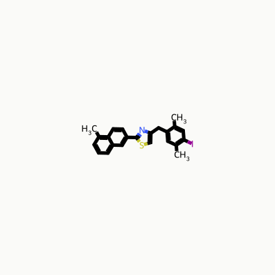 Cc1cc(Cc2csc(-c3ccc4c(C)cccc4c3)n2)c(C)cc1I